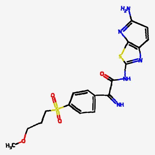 COCCCS(=O)(=O)c1ccc(C(=N)C(=O)Nc2nc3ccc(N)nc3s2)cc1